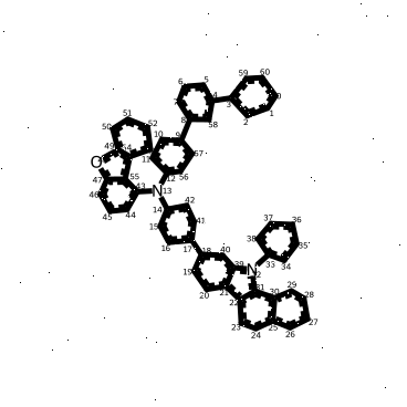 c1ccc(-c2cccc(-c3ccc(N(c4ccc(-c5ccc6c7ccc8ccccc8c7n(-c7ccccc7)c6c5)cc4)c4cccc5oc6ccccc6c45)cc3)c2)cc1